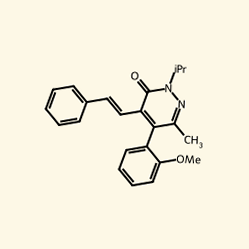 COc1ccccc1-c1c(C)nn(C(C)C)c(=O)c1/C=C/c1ccccc1